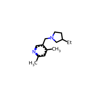 CCC1CCN(Cc2cnc(C)cc2C)C1